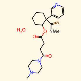 CNC(=S)C1(c2cccnc2)CCCCC1OC(=O)CCC(=O)N1CCN(C)CC1.O